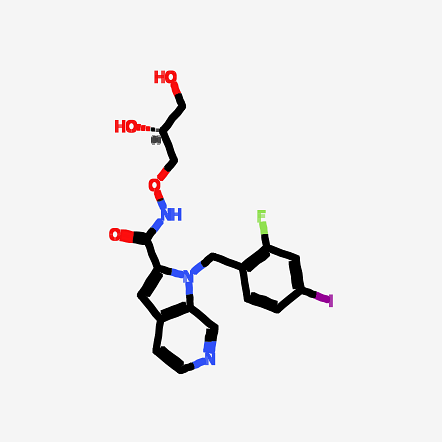 O=C(NOC[C@H](O)CO)c1cc2ccncc2n1Cc1ccc(I)cc1F